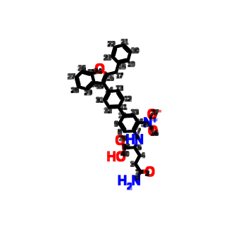 NC(=O)CCC(Nc1ccc(-c2ccc(-c3c(Cc4ccccc4)oc4ccccc34)cc2)cc1[N+](=O)[O-])C(=O)O